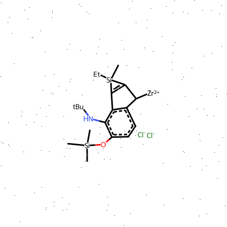 CC[Si]1(C)C2=C1[CH]([Zr+2])c1ccc(O[Si](C)(C)C)c(NC(C)(C)C)c12.[Cl-].[Cl-]